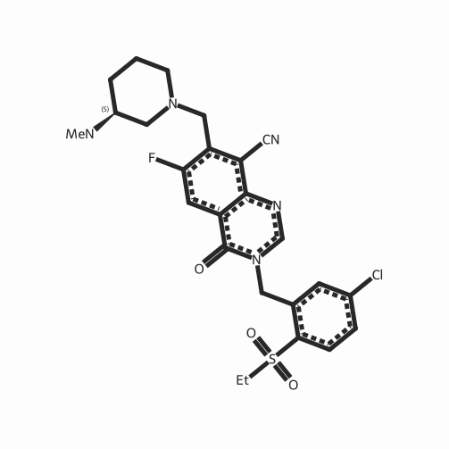 CCS(=O)(=O)c1ccc(Cl)cc1Cn1cnc2c(C#N)c(CN3CCC[C@H](NC)C3)c(F)cc2c1=O